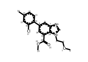 COCCn1cnc2cc(-c3ccc(C)cc3Cl)cc(C(=O)OC)c21